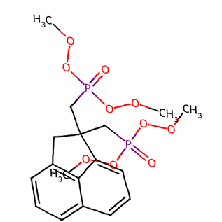 COOP(=O)(CC1(CP(=O)(OOC)OOC)Cc2cccc3cccc1c23)OOC